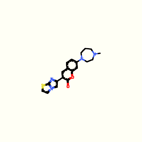 CN1CCCN(c2ccc3cc(-c4cn5ccsc5n4)c(=O)oc3c2)CC1